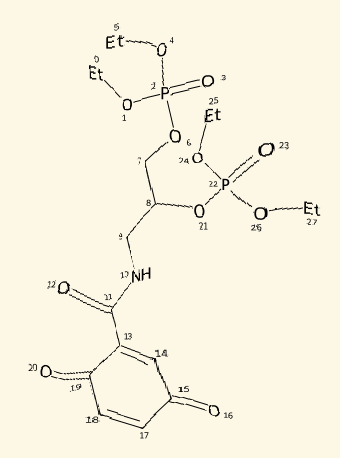 CCOP(=O)(OCC)OCC(CNC(=O)C1=CC(=O)C=CC1=O)OP(=O)(OCC)OCC